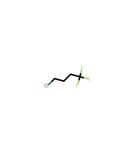 FC(F)(F)CCCCl